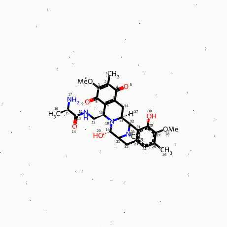 COC1=C(C)C(=O)C2=C(C1=O)[C@H](CNC(=O)[C@@H](C)N)N1[C@@H](O)C3Cc4cc(C)c(OC)c(O)c4C([C@@H]1C2)N3C